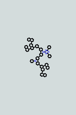 c1ccc(-c2nc(-c3ccccc3)nc(-n3c4ccc(-c5cccc(-c6ccc(-c7cccc8ccccc78)c7ccc(-c8cccc9ccccc89)cc67)c5)cc4c4cc(-c5ccc6c(c5)c5cc(-c7cc(-c8cccc9ccccc89)c8ccc(-c9cccc%10ccccc9%10)cc8c7)ccc5n6-c5ccccc5)ccc43)n2)cc1